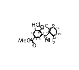 COC(=O)c1ccc2c(c1)C(N)c1ccccc1CO2.Cl